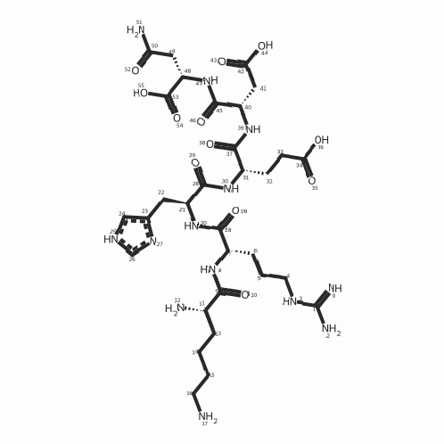 N=C(N)NCCC[C@H](NC(=O)[C@@H](N)CCCCN)C(=O)N[C@@H](Cc1c[nH]cn1)C(=O)N[C@@H](CCC(=O)O)C(=O)N[C@@H](CC(=O)O)C(=O)N[C@@H](CC(N)=O)C(=O)O